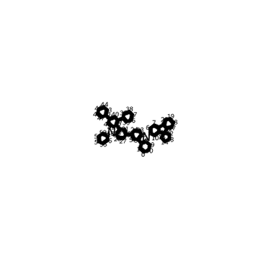 C1=Cc2c(n(-c3ccc4c(c3)C3(CCCC3)c3ccccc3-4)c3ccc(-c4ccc5c(c4)c4c(-c6ccccc6)cc(-c6ccccc6)cc4n5-c4ccccc4)cc23)CC1